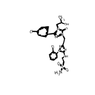 NS(=O)(=O)CCNc1nc(Cn2nc(-c3ccc(Cl)cc3)n(CC(O)C(F)(F)F)c2=O)nn1-c1ccccc1Cl